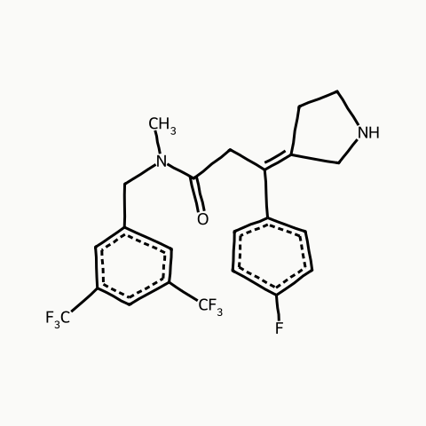 CN(Cc1cc(C(F)(F)F)cc(C(F)(F)F)c1)C(=O)C/C(=C1\CCNC1)c1ccc(F)cc1